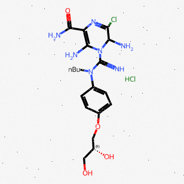 CCCCN(C(=N)N1C(N)=C(C(N)=O)N=C(Cl)C1N)c1ccc(OC[C@H](O)CO)cc1.Cl